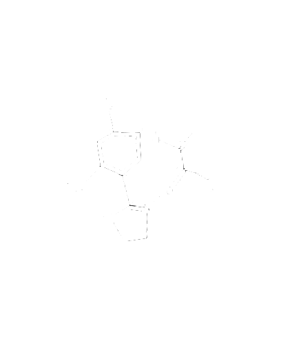 Cc1cc(Br)ccc1C1=NCCO1.O=C(Cl)C(=O)Cl